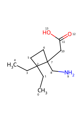 CCC1(CC)CCC1(CN)CC(=O)O